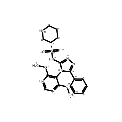 COc1ncnc(OC)c1-n1c(NS(=O)(=O)[C@H]2CCCNC2)nnc1-c1ccccc1